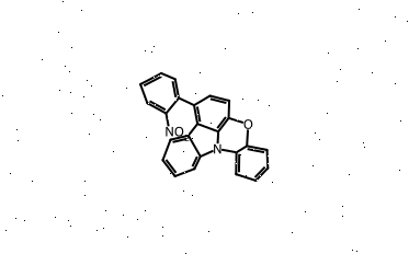 O=[N+]([O-])c1ccccc1-c1ccc2c3c1c1ccccc1n3-c1ccccc1O2